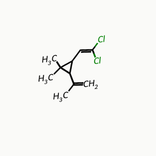 C=C(C)C1C(C=C(Cl)Cl)C1(C)C